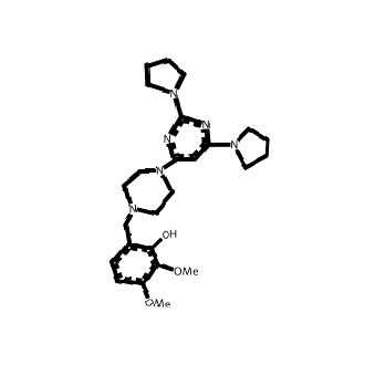 COc1ccc(CN2CCN(c3cc(N4CCCC4)nc(N4CCCC4)n3)CC2)c(O)c1OC